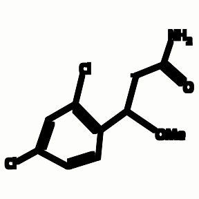 COC([CH]C(N)=O)c1ccc(Cl)cc1Cl